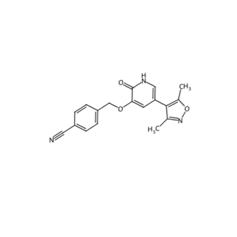 Cc1noc(C)c1-c1c[nH]c(=O)c(OCc2ccc(C#N)cc2)c1